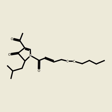 CCCCCCCC=CC(=O)N1C=C(C(C)=O)C(=O)C1CC(C)C